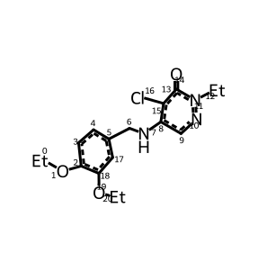 CCOc1ccc(CNc2cnn(CC)c(=O)c2Cl)cc1OCC